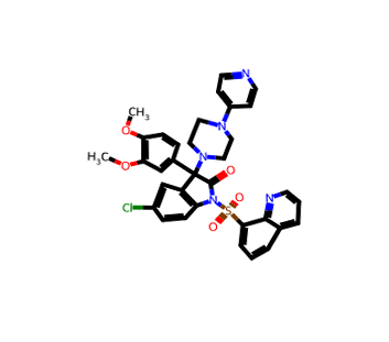 COc1ccc(C2(N3CCN(c4ccncc4)CC3)C(=O)N(S(=O)(=O)c3cccc4cccnc34)c3ccc(Cl)cc32)cc1OC